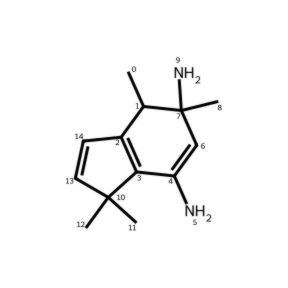 CC1C2=C(C(N)=CC1(C)N)C(C)(C)C=C2